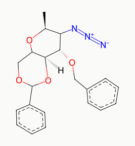 C[C@@H]1OC2COC(c3ccccc3)O[C@@H]2[C@@H](OCc2ccccc2)C1N=[N+]=[N-]